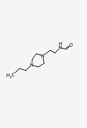 CCCN1CCN(CCNC=O)CC1